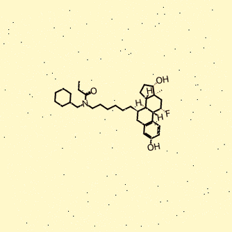 CCC(=O)N(CCCCCC[C@@H]1Cc2cc(O)ccc2[C@@H]2[C@@H]1[C@@H]1CC[C@H](O)[C@@]1(C)C[C@@H]2F)CC1CCCCC1